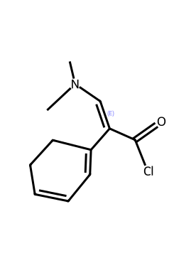 CN(C)/C=C(/C(=O)Cl)C1=CC=CCC1